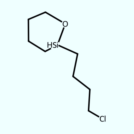 ClCCCC[SiH]1CCCCO1